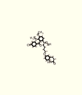 COc1ccc([N+](=CCCCOc2ccc3c(c2)CCC(=O)N3)OS)c(C(=O)c2ccc(Cl)cc2)c1OC